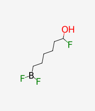 OC(F)CCCCCB(F)F